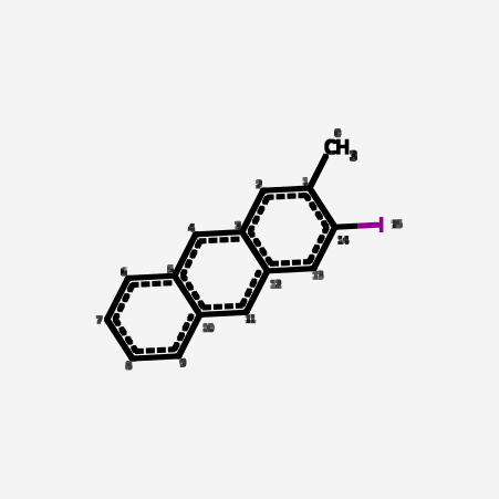 Cc1cc2cc3ccccc3cc2cc1I